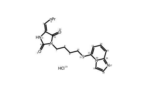 CCC/C=C1/NC(=O)N(CCCCSc2cccc3nccn23)C1=O.Cl